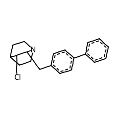 ClC1C2CCN(CC2)C1Cc1ccc(-c2ccccc2)cc1